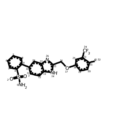 NS(=O)(=O)c1ccccc1-c1ccc2[nH]c(COc3ccc(F)c(C(F)(F)F)c3)nc2c1